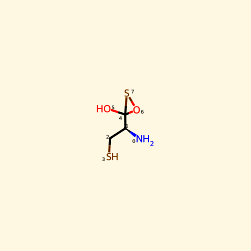 N[C@@H](CS)C1(O)OS1